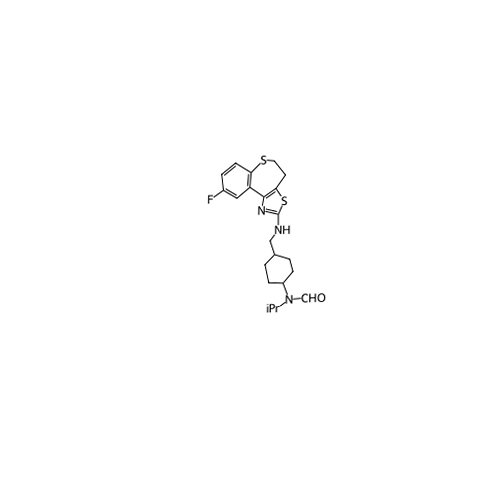 CC(C)N(C=O)C1CCC(CNc2nc3c(s2)CCSc2ccc(F)cc2-3)CC1